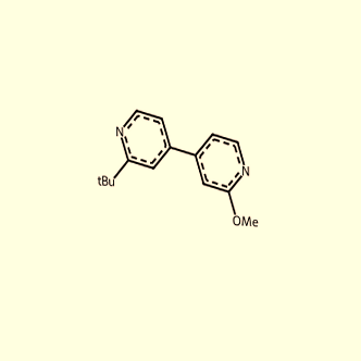 COc1cc(-c2ccnc(C(C)(C)C)c2)ccn1